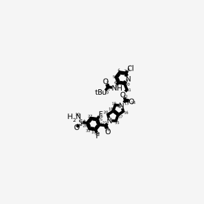 CC(C)(C)C(=O)Nc1ccc(Cl)nc1COC(=O)N1CC2=C(C1)CN(C(=O)c1c(F)cc([S+](N)[O-])cc1F)C2